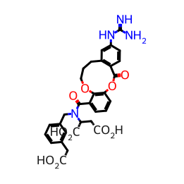 N=C(N)Nc1ccc2c(c1)CCCOc1c(cccc1C(=O)N(Cc1cccc(CC(=O)O)c1)C(CC(=O)O)C(=O)O)OC2=O